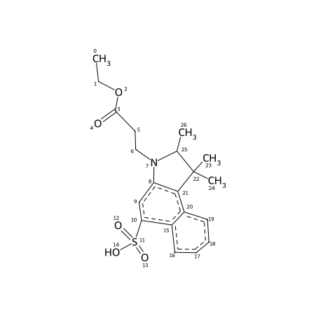 CCOC(=O)CCN1c2cc(S(=O)(=O)O)c3ccccc3c2C(C)(C)C1C